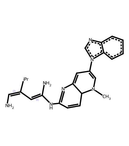 CC(C)C(=C/N)/C=C(\N)NC1=NC2=CC(n3cnc4ccccc43)=CN(C)C2C=C1